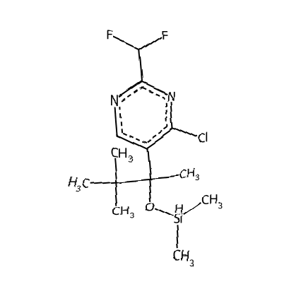 C[SiH](C)OC(C)(c1cnc(C(F)F)nc1Cl)C(C)(C)C